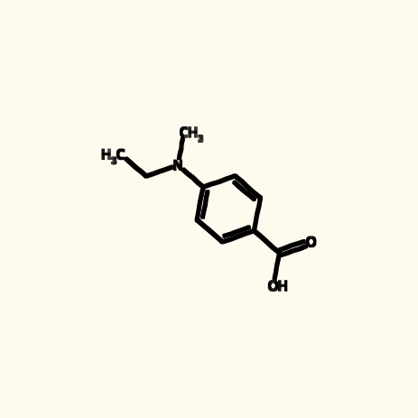 CCN(C)c1ccc(C(=O)O)cc1